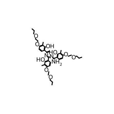 C=C(/N=C(\N=C(/N)c1ccc(OCCOCCC)c(C)c1O)c1ccc(OCCOCCC)c(C)c1O)c1ccc(OCCOCCC)c(C)c1O